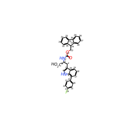 O=C(N[C@@H](Cc1c[nH]c2c(-c3ccc(F)cc3)cccc12)C(=O)O)OCC1c2ccccc2-c2ccccc21